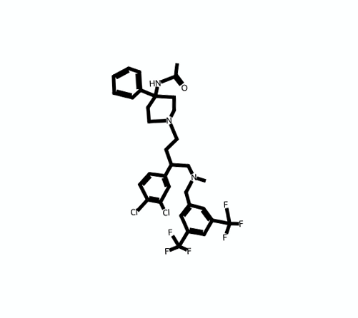 CC(=O)NC1(c2ccccc2)CCN(CCC(CN(C)Cc2cc(C(F)(F)F)cc(C(F)(F)F)c2)c2ccc(Cl)c(Cl)c2)CC1